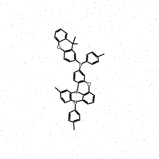 Cc1ccc(N(c2ccc3c(c2)Oc2cccc4c2B3c2cc(C)ccc2N4c2ccc(C)cc2)c2ccc3c(c2)C(C)(C)c2ccccc2O3)cc1